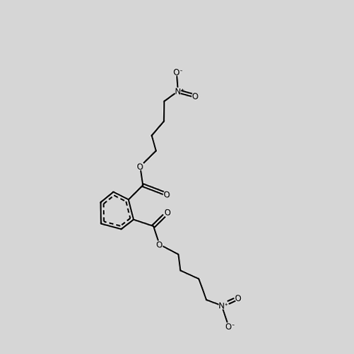 O=C(OCCCC[N+](=O)[O-])c1ccccc1C(=O)OCCCC[N+](=O)[O-]